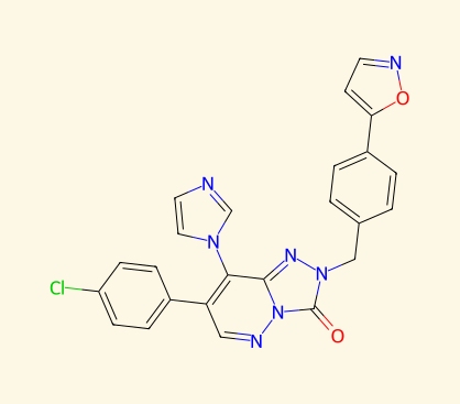 O=c1n(Cc2ccc(-c3ccno3)cc2)nc2c(-n3ccnc3)c(-c3ccc(Cl)cc3)cnn12